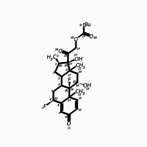 C[C@@H]1CC2C3C[C@H](F)C4=CC(=O)C=CC4(C)[C@@]3(F)[C@@H](O)CC2(C)[C@@]1(O)C(=O)COC(=O)C(C)(C)C